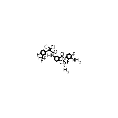 C=CCN(C(=O)c1cc(NC(=O)C2C(c3ccc(F)c(C(F)(F)F)c3)C2(Cl)Cl)ccc1Cl)c1ccc(F)c(N)c1F